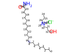 CCCCCCCC/C=C\CCCCCCCCCCCC(N)=O.CCC[N+](C)(C)CCCO.[Cl-]